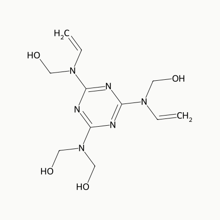 C=CN(CO)c1nc(N(C=C)CO)nc(N(CO)CO)n1